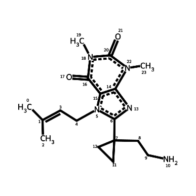 CC(C)=CCn1c(C2(CCN)CC2)nc2c1c(=O)n(C)c(=O)n2C